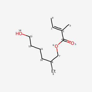 CC=C(C)C(=O)OCC(CC)CCCCO